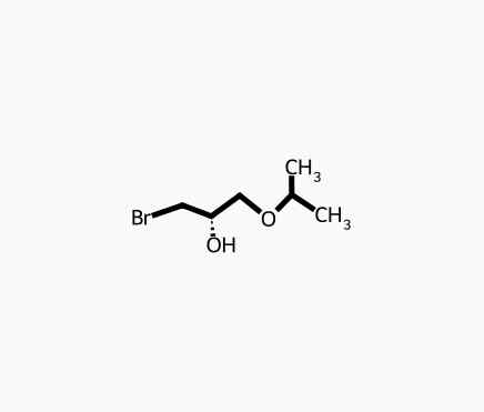 CC(C)OC[C@H](O)CBr